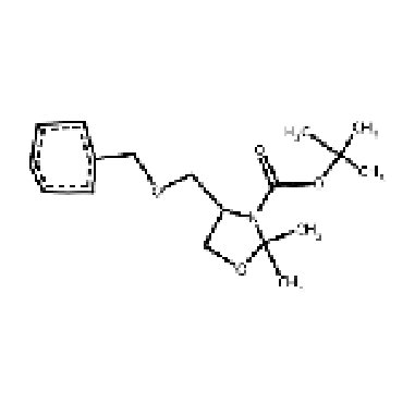 CC(C)(C)OC(=O)N1C(COCc2ccccc2)COC1(C)C